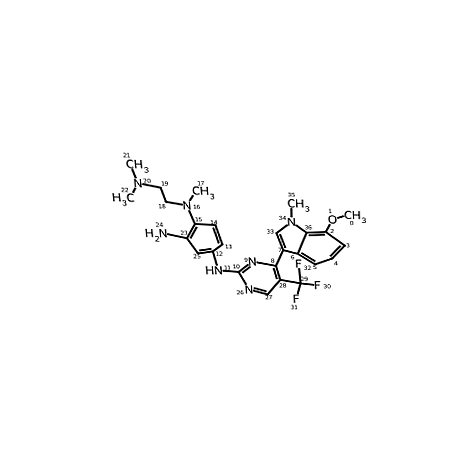 COc1cccc2c(-c3nc(Nc4ccc(N(C)CCN(C)C)c(N)c4)ncc3C(F)(F)F)cn(C)c12